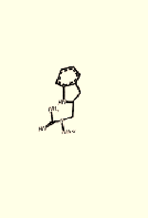 CCCCCCN(CC1Cc2ccccc2N1)C(=N)N